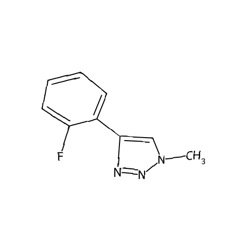 Cn1cc(-c2ccccc2F)nn1